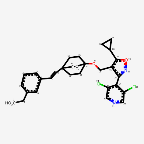 O=C(O)Cc1cccc(C=CC23CCC(OCc4c(-c5c(Cl)cncc5Cl)noc4C4CC4)(CC2)CC3)c1